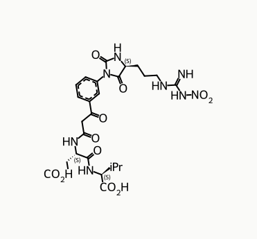 CC(C)[C@H](NC(=O)[C@H](CC(=O)O)NC(=O)CC(=O)c1cccc(N2C(=O)N[C@@H](CCCNC(=N)N[N+](=O)[O-])C2=O)c1)C(=O)O